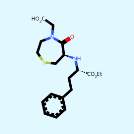 CCOC(=O)[C@H](CCc1ccccc1)N[C@H]1CSCCN(CC(=O)O)C1=O